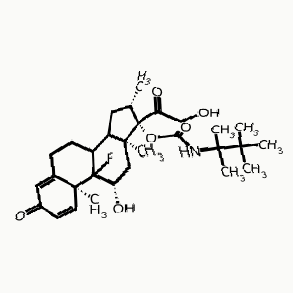 C[C@H]1CC2C3CCC4=CC(=O)C=C[C@]4(C)C3(F)[C@@H](O)C[C@]2(C)[C@]1(OC(=O)NC(C)(C)C(C)(C)C)C(=O)CO